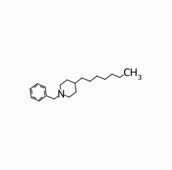 CCCCCCCC1CCN(Cc2ccccc2)CC1